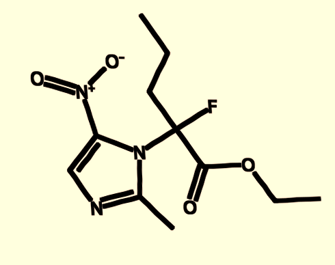 CCCC(F)(C(=O)OCC)n1c([N+](=O)[O-])cnc1C